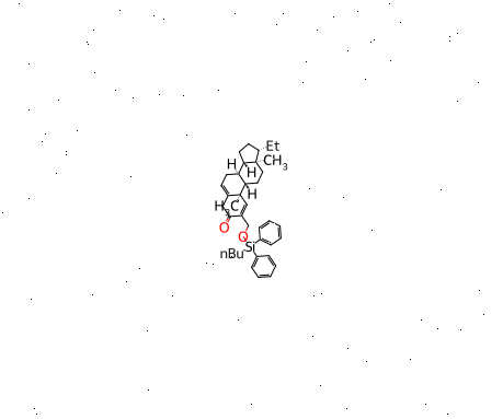 CCCC[Si](OCC1=C[C@@]2(C)C(=CC[C@H]3[C@@H]4CC[C@H](CC)[C@@]4(C)CC[C@@H]32)CC1=O)(c1ccccc1)c1ccccc1